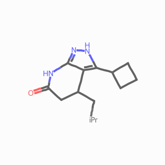 CC(C)CC1CC(=O)Nc2n[nH]c(C3CCC3)c21